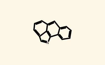 C1=Nc2c3ccccc3cc3cccc1c23